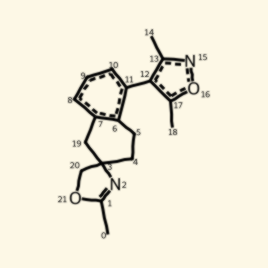 CC1=NC2(CCc3c(cccc3-c3c(C)noc3C)C2)CO1